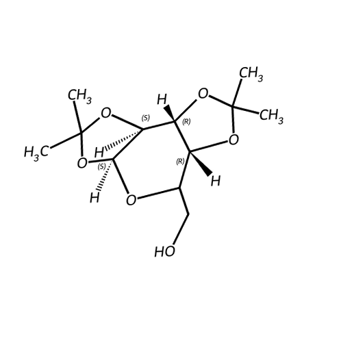 CC1(C)O[C@@H]2OC(CO)[C@H]3OC(C)(C)O[C@H]3[C@@H]2O1